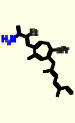 C=C/C(C)=C\C=C(/C)CC1=C(CCC)CC=C(/C=C(\CC)C(=C)N)C(C)=C1